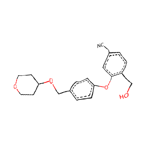 N#Cc1ccc(CO)c(Oc2ccc(COC3CCOCC3)cc2)c1